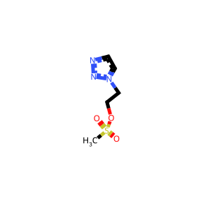 CS(=O)(=O)OCCn1ccnn1